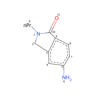 CCCN1Cc2cc(N)ccc2C1=O